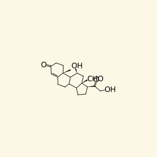 C[C@]12CCC(=O)C=C1CCC1C2[C@@H](O)C[C@@]2(C=O)C1CC[C@@H]2C(=O)CO